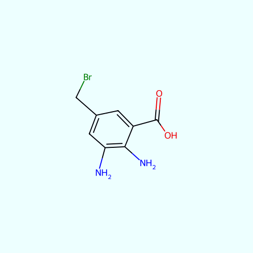 Nc1cc(CBr)cc(C(=O)O)c1N